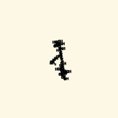 N=C(CSC1O[C@H](CO)[C@@H](O)[C@H](O)[C@@H]1O)NCCSC(CCCSCCNC(=O)CN(CCN(CCN(CC(=O)O)CC(=O)O)CC(=O)O)CC(=O)O)CCOCCCSCCN